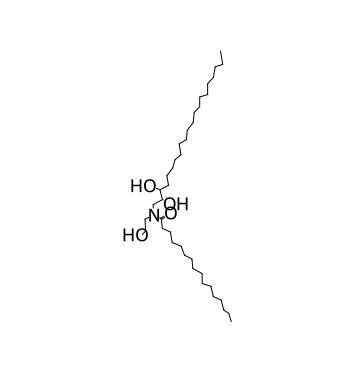 CCCCCCCCCCCCCCCCCCC(O)C(O)CN(CCO)C(=O)CCCCCCCCCCCCCCC